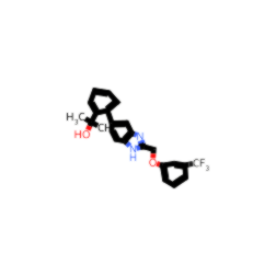 CC(C)(O)c1ccccc1-c1ccc2[nH]c(COc3cccc(C(F)(F)F)c3)nc2c1